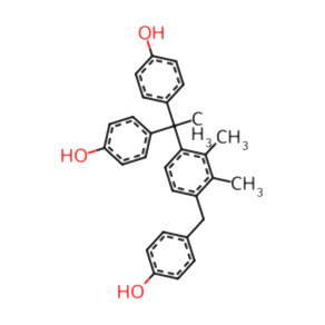 Cc1c(Cc2ccc(O)cc2)ccc(C(C)(c2ccc(O)cc2)c2ccc(O)cc2)c1C